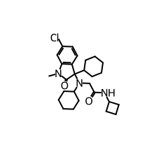 CN1C(=O)C(C2CCCCC2)(N(CC(=O)NC2CCC2)C2CCCCC2)c2ccc(Cl)cc21